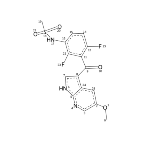 COc1cnc2[nH]cc(C(=O)c3c(F)ccc(NS(C)(=O)=O)c3F)c2c1